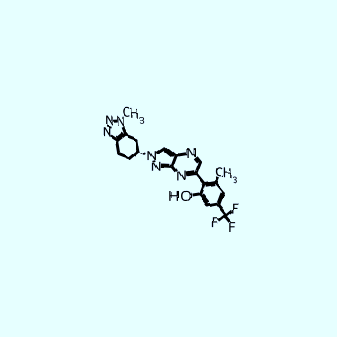 Cc1cc(C(F)(F)F)cc(O)c1-c1cnc2cn([C@@H]3CCc4nnn(C)c4C3)nc2n1